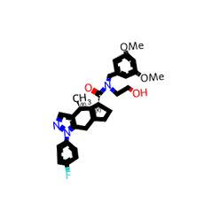 COc1cc(CN(CCO)C(=O)[C@@H]2CCC3=C2[C@@H](C)c2cnn(-c4ccc(F)cc4)c2C3)cc(OC)c1